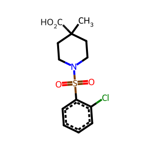 CC1(C(=O)O)CCN(S(=O)(=O)c2ccccc2Cl)CC1